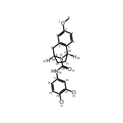 COc1ccc2c(c1)C[C@H]1CC[C@@H]2N1C(=O)Nc1ccc(Cl)c(Cl)c1